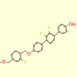 CCOCc1ccc(COc2ccc(-c3ccc(-c4ccc(O)cc4)c(F)c3F)cc2)c(F)c1